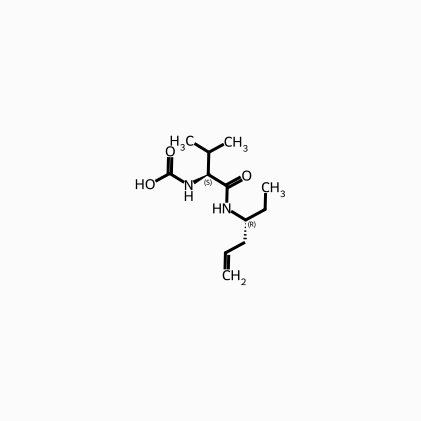 C=CC[C@@H](CC)NC(=O)[C@@H](NC(=O)O)C(C)C